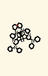 CC1(C2(C)c3cc(N(c4ccccc4)c4ccccc4)cnc3-c3ncc(N(c4ccccc4)c4ccccc4)cc32)c2cc(N(c3ccccc3)c3ccccc3)cnc2-c2ncc(N(c3ccccc3)c3ccccc3)cc21